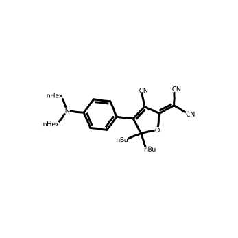 CCCCCCN(CCCCCC)c1ccc(C2=C(C#N)C(=C(C#N)C#N)OC2(CCCC)CCCC)cc1